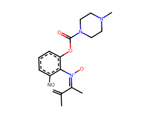 C=C(C)/C(C)=[N+](/[O-])c1c(N=O)cccc1OC(=O)N1CCN(C)CC1